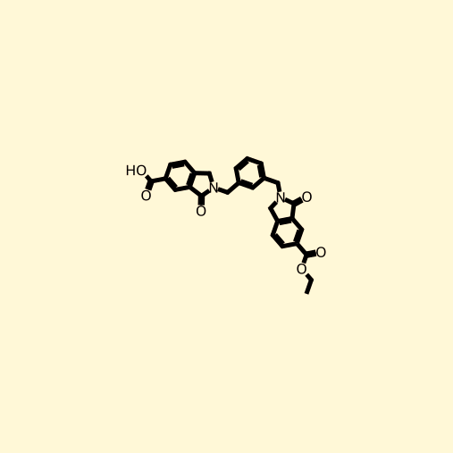 CCOC(=O)c1ccc2c(c1)C(=O)N(Cc1cccc(CN3Cc4ccc(C(=O)O)cc4C3=O)c1)C2